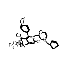 Cn1[nH]c2cc(=O)n(CC3CN(Cc4ccccc4)CCO3)c(-c3ccc(Cl)cc3)c2c1=O